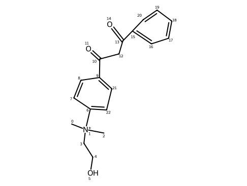 C[N+](C)(CCO)c1ccc(C(=O)CC(=O)c2ccccc2)cc1